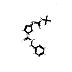 CC(C)(C)OC(=O)NC1C=C[C@H](C(=O)OCc2ccccc2)C1